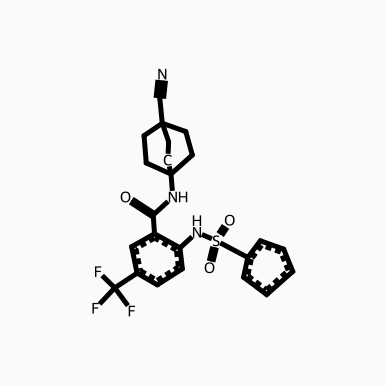 N#CC12CCC(NC(=O)c3cc(C(F)(F)F)ccc3NS(=O)(=O)c3ccccc3)(CC1)CC2